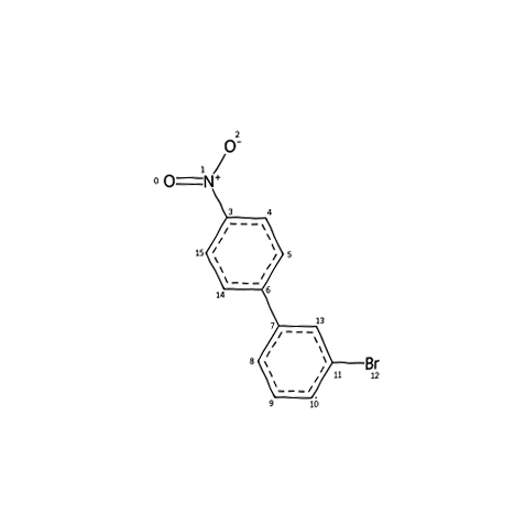 O=[N+]([O-])c1ccc(-c2cc[c]c(Br)c2)cc1